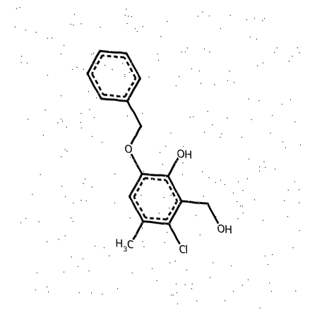 Cc1cc(OCc2ccccc2)c(O)c(CO)c1Cl